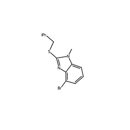 CC(C)CSc1nc2c(Br)cccc2n1C